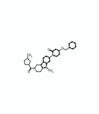 CN1CCC(C(=O)N2CCc3c(c4ccc(-n5ccc(OCc6ccccc6)cc5=O)cc4n3C)C2)C1